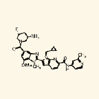 COc1cc(C(=O)N2C[C@H](N)C[C@@H](F)C2)cc2nc(-c3cc4ccc(C(=O)Nc5ccnc(C)c5)nc4n3CC3CC3)n(C)c12